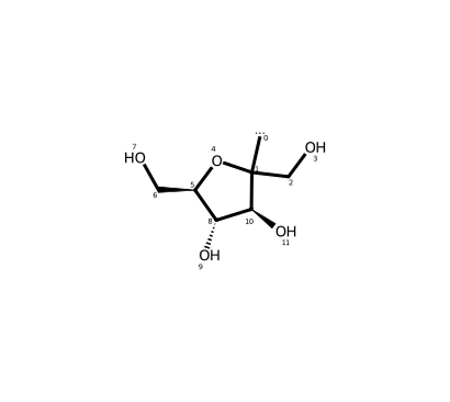 [C]C1(CO)O[C@H](CO)[C@@H](O)[C@@H]1O